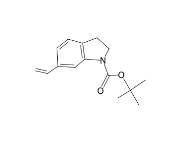 C=Cc1ccc2c(c1)N(C(=O)OC(C)(C)C)CC2